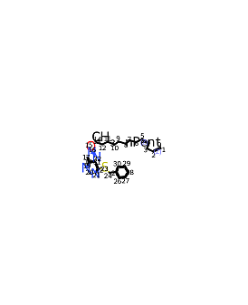 CCCCC/C=C\C/C=C\CCCCCCCC(C)On1cc2ncnc(SCc3ccccc3)c2n1